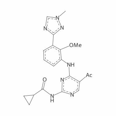 COc1c(Nc2nc(NC(=O)C3CC3)ncc2C(C)=O)cccc1-c1ncn(C)n1